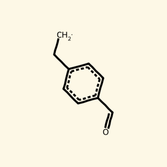 [CH2]Cc1ccc(C=O)cc1